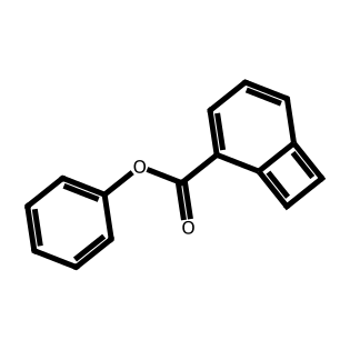 O=C(Oc1ccccc1)c1cccc2c1=CC=2